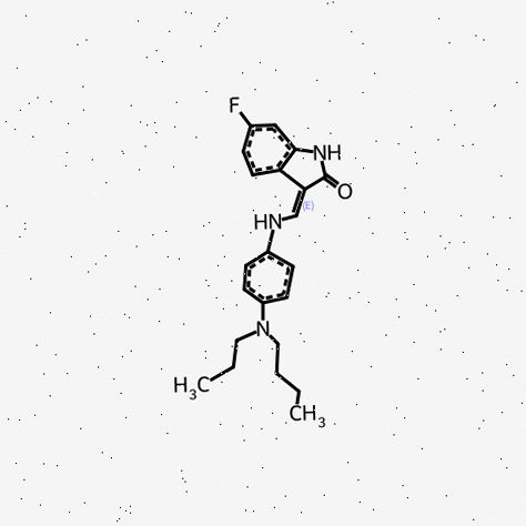 CCCCN(CCC)c1ccc(N/C=C2/C(=O)Nc3cc(F)ccc32)cc1